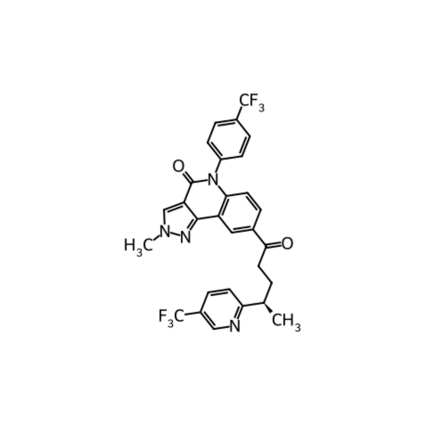 C[C@H](CCC(=O)c1ccc2c(c1)c1nn(C)cc1c(=O)n2-c1ccc(C(F)(F)F)cc1)c1ccc(C(F)(F)F)cn1